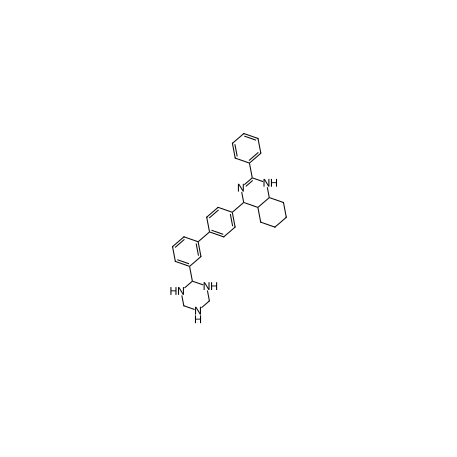 c1ccc(C2=NC(c3ccc(-c4cccc(C5NCNCN5)c4)cc3)C3CCCCC3N2)cc1